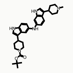 CN1CCC(c2c[nH]c3cc(Nc4ccc5[nH]cc(C6CCN(C(=O)OC(C)(C)C)CC6)c5c4)ccc23)CC1